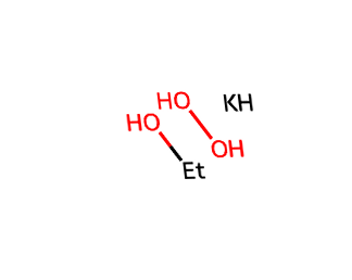 CCO.OO.[KH]